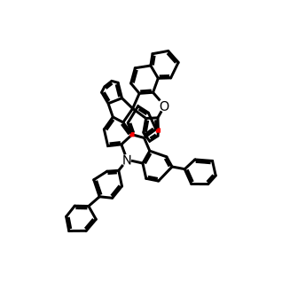 c1ccc(-c2ccc(N(c3ccc4c(c3)C3(c5ccccc5Oc5c3ccc3ccccc53)c3ccccc3-4)c3ccc(-c4ccccc4)cc3-c3ccccc3)cc2)cc1